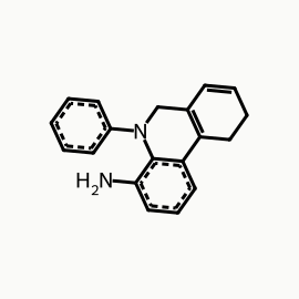 Nc1cccc2c1N(c1ccccc1)CC1=C2CCC=C1